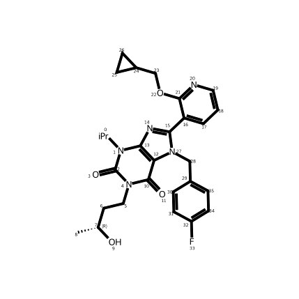 CC(C)n1c(=O)n(CC[C@@H](C)O)c(=O)c2c1nc(-c1cccnc1OCC1CC1)n2Cc1ccc(F)cc1